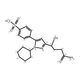 CS(=O)(=O)c1ccc(-c2cc(C(O)CCC(N)=O)nn2C2CCCCC2)cc1